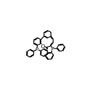 C=C1Oc2c(cccc2P(c2ccccc2)c2ccccc2)C2=C/C(=C\C=C/1P(c1ccccc1)c1ccccc1)CC=C2